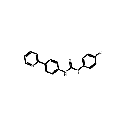 O=C(Nc1ccc(Cl)cc1)Nc1ccc(-c2ccccn2)cc1